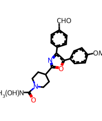 COc1ccc(-c2oc(C3CCN(C(=O)N(C)O)CC3)nc2-c2ccc(C=O)cc2)cc1